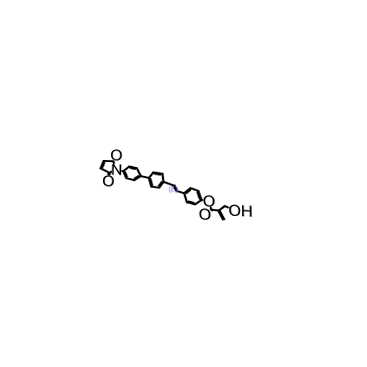 C=C(CO)C(=O)Oc1ccc(/C=C/c2ccc(-c3ccc(N4C(=O)C=CC4=O)cc3)cc2)cc1